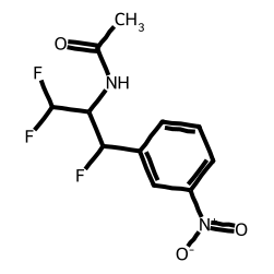 CC(=O)NC(C(F)F)C(F)c1cccc([N+](=O)[O-])c1